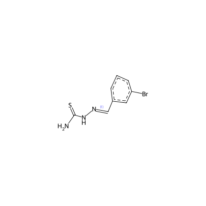 NC(=S)N/N=C/c1cccc(Br)c1